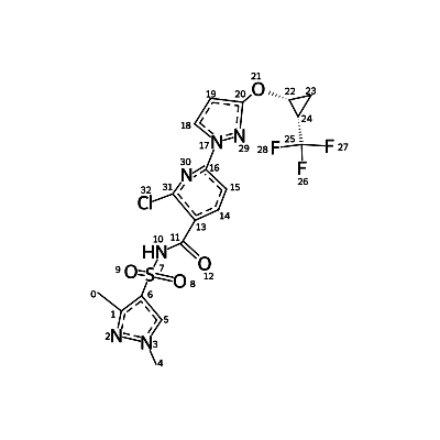 Cc1nn(C)cc1S(=O)(=O)NC(=O)c1ccc(-n2ccc(O[C@@H]3C[C@@H]3C(F)(F)F)n2)nc1Cl